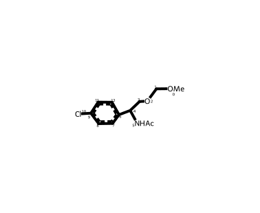 COCOCC(NC(C)=O)c1ccc(Cl)cc1